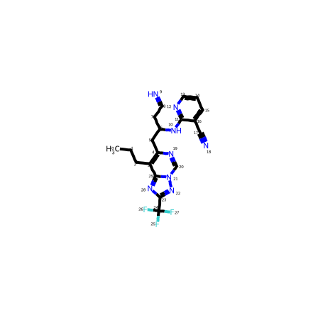 CCCc1c(CC(CC=N)Nc2ncccc2C#N)ncn2nc(C(F)(F)F)nc12